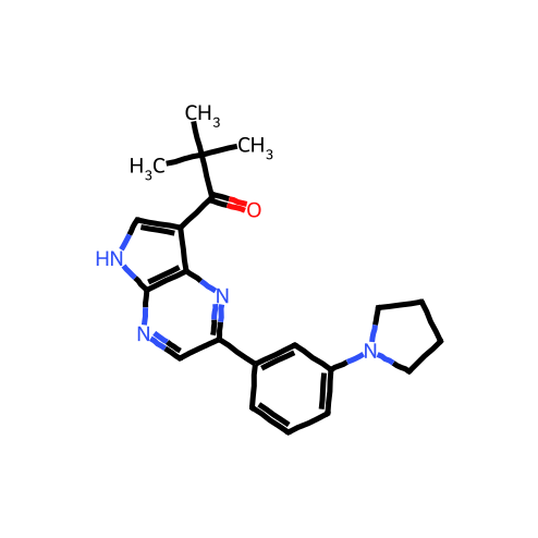 CC(C)(C)C(=O)c1c[nH]c2ncc(-c3cccc(N4CCCC4)c3)nc12